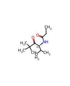 CCC(=O)N[C@H](C(=O)C(C)(C)C)C(C)C